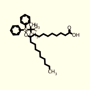 CCCCCCCCCC(CCCCCCCCC(=O)O)O[Si](c1ccccc1)(c1ccccc1)C(C)(C)C